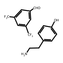 NCCc1ccc(O)cc1.O=Cc1cc(C(F)(F)F)cc(C(F)(F)F)c1